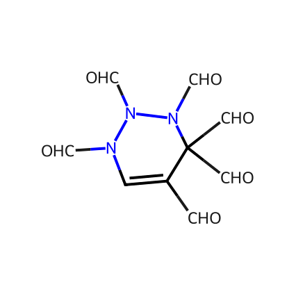 O=CC1=CN(C=O)N(C=O)N(C=O)C1(C=O)C=O